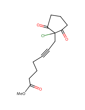 COC(=O)CCCC#CCC1(Cl)C(=O)CCCC1=O